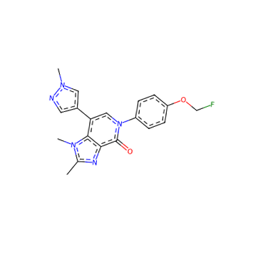 Cc1nc2c(=O)n(-c3ccc(OCF)cc3)cc(-c3cnn(C)c3)c2n1C